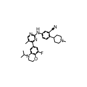 Cc1cnc(Nc2ccc(C3CCN(C)CC3)c(C#N)c2)nc1-c1cc(F)c2c(c1)N(C(C)C)CCO2